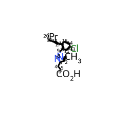 Cc1cc(CCC(=O)O)nn1Cc1cc(Cl)ccc1C#CCC(C)C